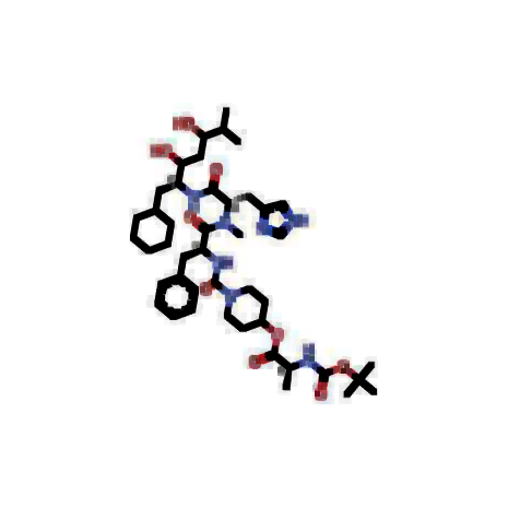 CC(C)C(O)CC(O)[C@H](CC1CCCCC1)NC(=O)[C@H](Cc1c[nH]cn1)N(C)C(=O)[C@H](Cc1ccccc1)NC(=O)N1CCC(OC(=O)[C@H](C)NC(=O)OC(C)(C)C)CC1